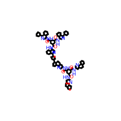 O=C(Nc1cnc2c(ccc3ccccc32)c1)C1CC(C(=O)Nc2cnc3c(ccc4ccccc43)c2)CC(C(=O)Nc2cnc3c(ccc4c(-c5ccc(-c6ncc(NC(=O)C7CC(C(=O)Nc8cnc(-c9ccccc9)c9ccccc89)CC(C(=O)Nc8cnc(-c9ccccc9)c9ccccc89)C7)c7ccccc67)cc5)cccc43)c2)C1